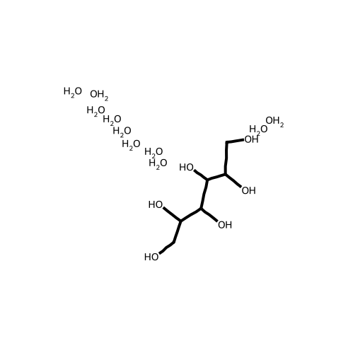 O.O.O.O.O.O.O.O.O.O.OCC(O)C(O)C(O)C(O)CO